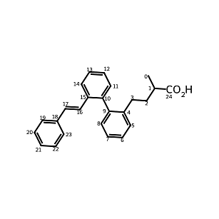 CC(CCc1ccccc1-c1ccccc1C=Cc1ccccc1)C(=O)O